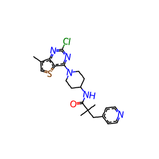 Cc1csc2c(N3CCC(NC(=O)C(C)(C)Cc4ccncc4)CC3)nc(Cl)nc12